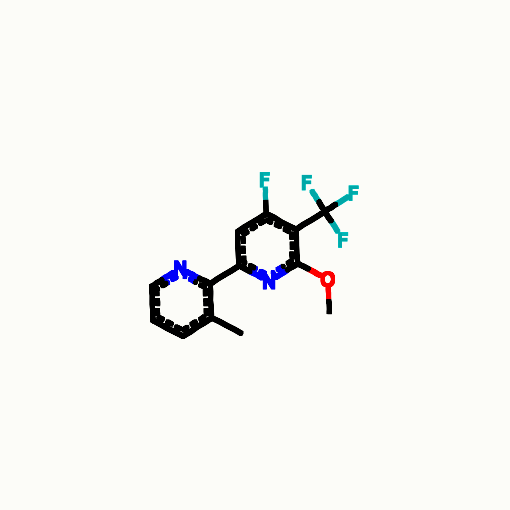 COc1nc(-c2ncccc2C)cc(F)c1C(F)(F)F